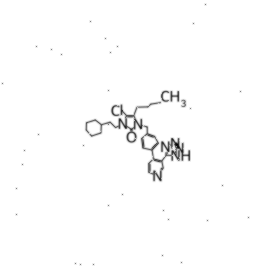 CCCCCc1c(Cl)n(CCC2CCCCC2)c(=O)n1Cc1ccc(-c2ccncc2-c2nnn[nH]2)cc1